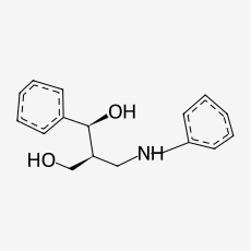 OC[C@H](CNCc1ccccc1)[C@H](O)c1ccccc1